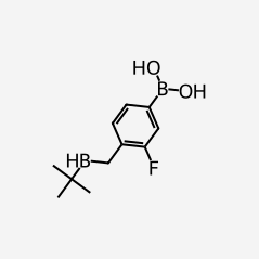 CC(C)(C)BCc1ccc(B(O)O)cc1F